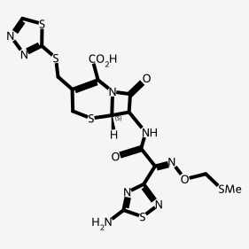 CSCON=C(C(=O)NC1C(=O)N2C(C(=O)O)=C(CSc3nncs3)CS[C@@H]12)c1nsc(N)n1